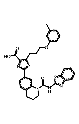 Cc1cccc(OCCCc2sc(-c3ccc4c(c3)N(C(=O)Nc3nc5ccccc5s3)CCC4)nc2C(=O)O)c1